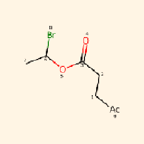 CC(=O)CCC(=O)OC(C)Br